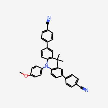 COc1ccc(N2c3ccc(-c4ccc(C#N)cc4)cc3C(C)(C)c3cc(-c4ccc(C#N)cc4)ccc32)cc1